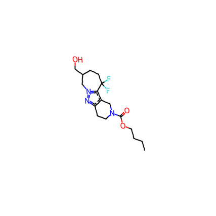 CCCCOC(=O)N1CCc2nn3c(c2C1)C(F)(F)CCC(CO)C3